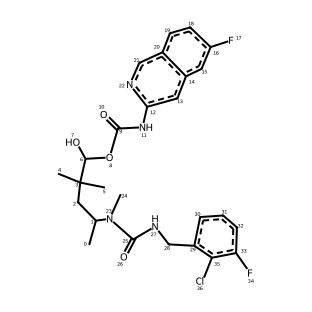 CC(CC(C)(C)C(O)OC(=O)Nc1cc2cc(F)ccc2cn1)N(C)C(=O)NCc1cccc(F)c1Cl